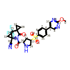 COc1ncc(-c2ccc(S(=O)(=O)[C@H]3CN[C@H](C(=O)N(C(=O)C4(C(F)(F)F)CC4)C4(C#N)CC4)C3)cc2)cn1